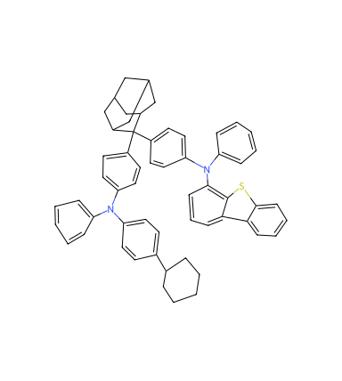 c1ccc(N(c2ccc(C3CCCCC3)cc2)c2ccc(C3(c4ccc(N(c5ccccc5)c5cccc6c5sc5ccccc56)cc4)C4CC5CC(C4)CC3C5)cc2)cc1